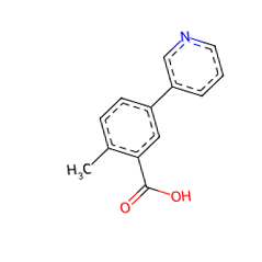 Cc1ccc(-c2cccnc2)cc1C(=O)O